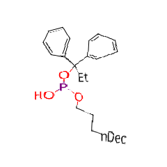 CCCCCCCCCCCCCOP(O)OC(CC)(c1ccccc1)c1ccccc1